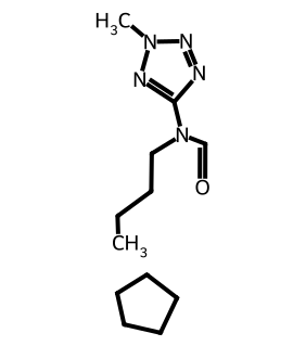 C1CCCC1.CCCCN(C=O)c1nnn(C)n1